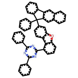 c1ccc(-c2nc(-c3ccccc3)nc(-c3cccc4oc5cc(C6(c7ccccc7)c7ccccc7-c7cc8ccccc8cc76)ccc5c34)n2)cc1